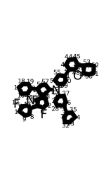 Fc1cccc2c1c1cccc(F)c1n2-c1ccccc1-c1ccc(N(c2ccc(-c3ccccc3)cc2)c2ccc(-c3cccc4c3oc3ccccc34)cc2)cc1